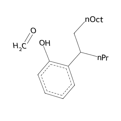 C=O.CCCCCCCCCC(CCC)c1ccccc1O